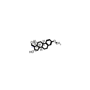 C/C=C1/[C@@H](O)C[C@H]2[C@@H]3CCc4cc(OC)ccc4[C@H]3CC[C@]12C